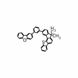 CC1(C)c2ccc(-c3cccc(-c4ccc5oc6ccccc6c5c4)c3)cc2-c2c1ccc1c2sc2ccccc21